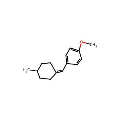 COc1ccc(C=C2CCC(C)CC2)cc1